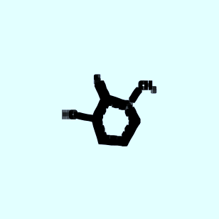 Cn1cccc(O)c1=S